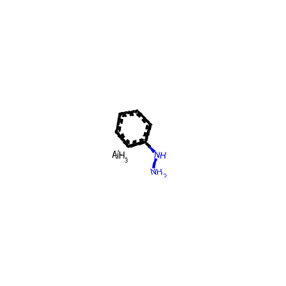 NNc1ccccc1.[AlH3]